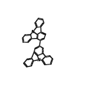 c1ccc2c(c1)c1cc(-c3ccc4c5ccccc5n5c6ccccc6c3c45)cc3c4ccccc4n2c13